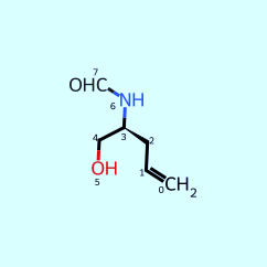 C=CC[C@@H](CO)NC=O